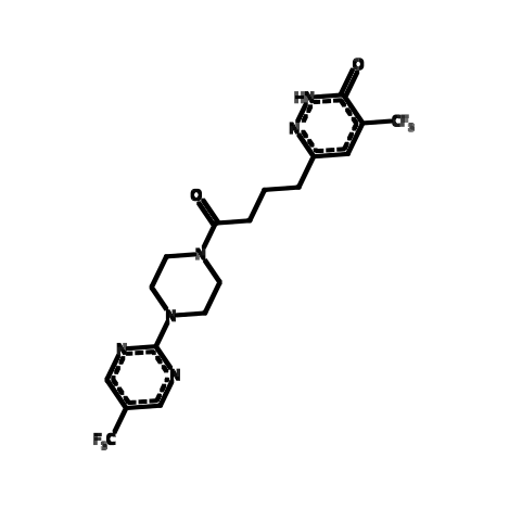 O=C(CCCc1cc(C(F)(F)F)c(=O)[nH]n1)N1CCN(c2ncc(C(F)(F)F)cn2)CC1